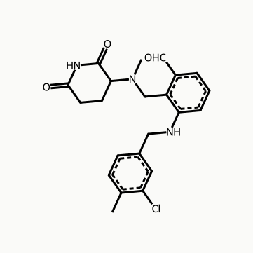 Cc1ccc(CNc2cccc(C=O)c2CN(C)C2CCC(=O)NC2=O)cc1Cl